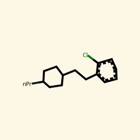 CCCC1CCC(CCc2ccccc2Cl)CC1